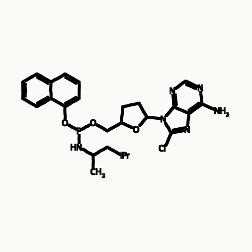 CC(C)CC(C)NP(OCC1CCC(n2c(Cl)nc3c(N)ncnc32)O1)Oc1cccc2ccccc12